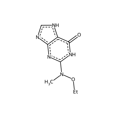 CCON(C)c1nc2nc[nH]c2c(=O)[nH]1